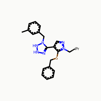 Cc1cccc(CN2NNN=C2c2cnn(CC(C)C)c2SCc2ccccc2)c1